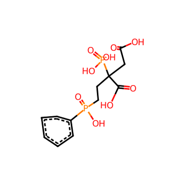 O=C(O)CC(CCP(=O)(O)c1ccccc1)(C(=O)O)P(=O)(O)O